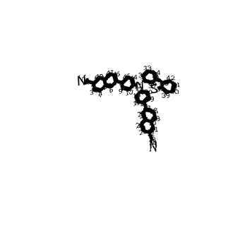 N#Cc1ccc2cc(-c3ccc(N(c4ccc(-c5ccc6cc(C#N)ccc6c5)cc4)c4cccc5c4sc4ccccc45)cc3)ccc2c1